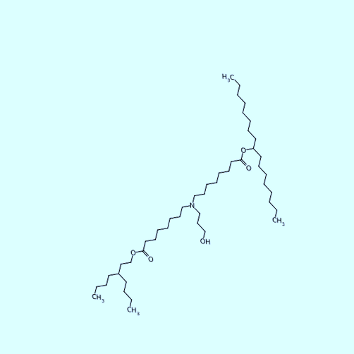 CCCCCCCCC(CCCCCCCC)OC(=O)CCCCCCCN(CCCO)CCCCCCCC(=O)OCCC(CCCC)CCCC